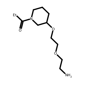 CCC(=O)N1CCCC(OCCOCCN)C1